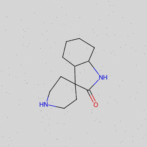 O=C1NC2CCCCC2C12CCNCC2